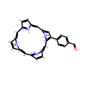 O=Cc1ccc(-c2cc3cc4nc(cc5ccc(cc6nc(cc2[nH]3)C=C6)[nH]5)C=C4)cc1